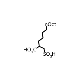 CCCCCCCCCCCCC(CS(=O)(=O)O)C(=O)O